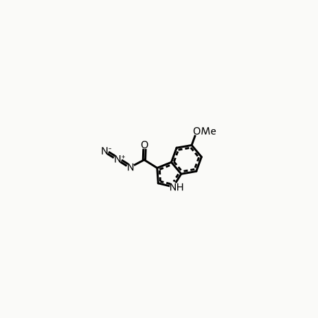 COc1ccc2[nH]cc(C(=O)N=[N+]=[N-])c2c1